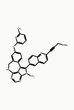 COCC#Cc1ccc2cc(-c3c4c5c(ncnc5n3C)NCc3cc(Oc5cccc(C)n5)ccc3-4)ccc2n1